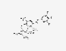 C=C(C=O)[C@@H]1CCc2c(C)cc(OCc3cc(F)c(F)c(F)c3)c(C)c2[C@@H]1OC